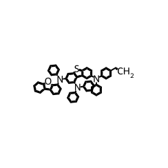 C=Cc1ccc(N(c2ccccc2)c2ccc3sc4cc(N(c5ccccc5)c5cccc6c5oc5ccccc56)cc(N(c5ccccc5)c5ccccc5)c4c3c2)cc1